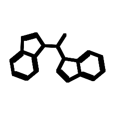 C[C](C1C=Cc2ccccc21)C1C=Cc2ccccc21